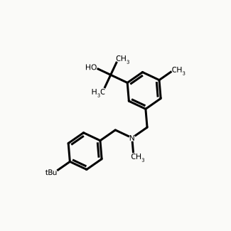 Cc1cc(CN(C)Cc2ccc(C(C)(C)C)cc2)cc(C(C)(C)O)c1